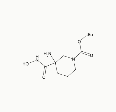 CC(C)(C)OC(=O)N1CCCC(N)(C(=O)NO)C1